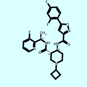 C[C@@H](NC(=O)[C@H]1CN(C2CCC2)CC[C@@H]1NC(=O)c1cc(-c2ccc(F)cc2F)on1)c1ncccc1F